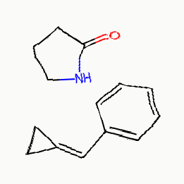 C(=C1CC1)c1ccccc1.O=C1CCCN1